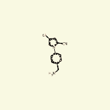 N#Cc1cc(Cl)cn1-c1ccc(CN)cc1